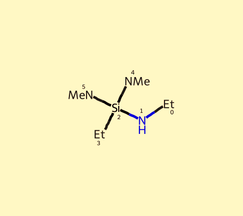 CCN[Si](CC)(NC)NC